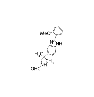 COc1ccccc1-c1nc2cc(C(C)(C)CNC=O)ccc2[nH]1